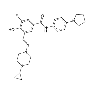 O=C(Nc1ccc(N2CCCC2)cc1)c1cc(F)c(O)c(C=NN2CCN(C3CC3)CC2)c1